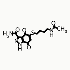 CC(=O)NCCCCSC1=CC(=O)c2[nH]nc(C(N)=O)c2C1=O